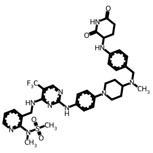 CN(Cc1ccc(NC2CCC(=O)NC2=O)cc1)C1CCN(c2ccc(Nc3ncc(C(F)(F)F)c(NCc4cccnc4N(C)S(C)(=O)=O)n3)cc2)CC1